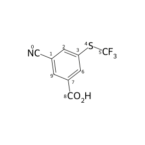 N#Cc1cc(SC(F)(F)F)cc(C(=O)O)c1